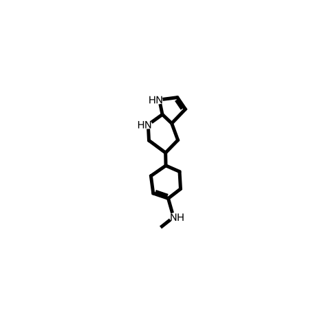 CNC1=CCC(C2CNC3NC=CC3C2)CC1